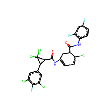 O=C(Nc1ccc(F)cc1F)C1CC(NC(=O)C2C(c3cc(Cl)c(F)c(Cl)c3)C2(Cl)Cl)=CC=C1Cl